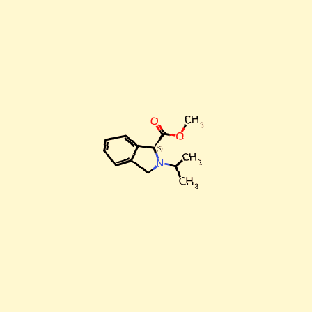 COC(=O)[C@@H]1c2ccccc2CN1C(C)C